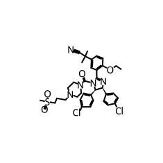 CCOc1ccc(C(C)(C)C#N)cc1C1=N[C@@H](c2ccc(Cl)cc2)[C@@H](c2ccc(Cl)cc2)N1C(=O)N1CCN(CCCS(C)(=O)=O)CC1